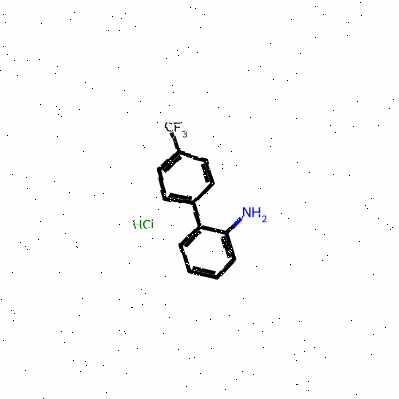 Cl.Nc1ccccc1-c1ccc(C(F)(F)F)cc1